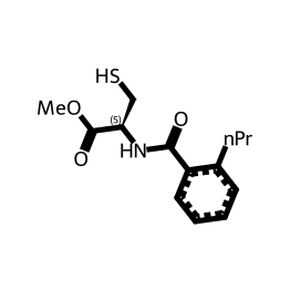 CCCc1ccccc1C(=O)N[C@H](CS)C(=O)OC